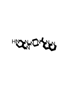 CC(c1ccc2cccnc2n1)N1CCN(c2ncc3c(n2)CNCC3)CC1